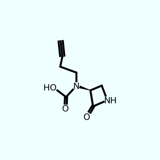 C#CCCN(C(=O)O)[C@H]1CNC1=O